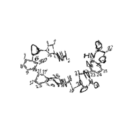 N[C@@H]1CC[C@H](Oc2cccc(-c3cccc(CNCCC4CN(c5ccc6c(n5)NC(=O)CO6)C(=O)O4)c3)c2)C1